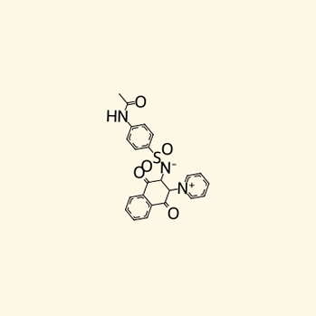 CC(=O)Nc1ccc(S(=O)(=O)[N-]C2C(=O)c3ccccc3C(=O)C2[n+]2ccccc2)cc1